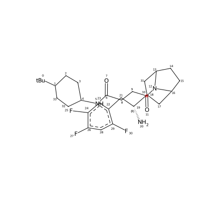 CC(C)(C)C1CCC(NC(=O)CCC(=O)N2C3CCC2CC([C@H](N)Cc2cc(F)c(F)cc2F)C3)CC1